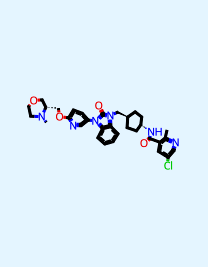 Cc1ncc(Cl)cc1C(=O)N[C@H]1CC[C@H](Cn2c(=O)n(-c3ccc(OC[C@H]4COCCN4C)nc3)c3ccccc32)CC1